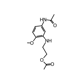 COc1ccc(NC(C)=O)cc1NCCOC(C)=O